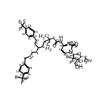 CC(C)(CCC(CCSCc1ccc(C(F)(F)F)cc1)SCc1ccc(C(F)(F)F)cc1)CC(=O)Nc1ccn([C@@H]2O[C@H](CO)[C@@](C)(CO)C2(F)F)c(=O)n1